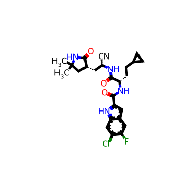 CC1(C)C[C@@H](C[C@@H](C#N)NC(=O)[C@H](CCC2CC2)NC(=O)c2cc3cc(F)c(Cl)cc3[nH]2)C(=O)N1